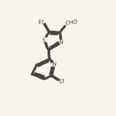 CCc1sc(-c2cccc(Cl)n2)nc1C=O